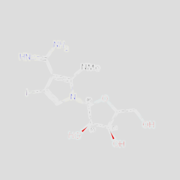 CNc1c(C(=N)N)c(I)cn1[C@@H]1OC(CO)[C@@H](O)[C@H]1O